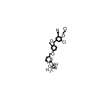 CS(=O)(=O)Nc1nccc(COc2ccc3c(c2)COC3c2cc(Cl)c(OCCCl)c(C#N)c2)n1